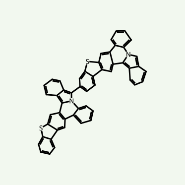 c1ccc2c(c1)cn1c3ccccc3c3cc4sc5cc(-c6c7ccccc7c7c8cc9sc%10ccccc%10c9cc8c8ccccc8n67)ccc5c4cc3c21